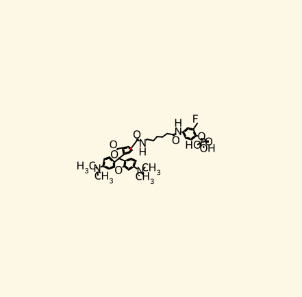 CN(C)c1ccc2c(c1)Oc1cc(N(C)C)ccc1C21OC(=O)c2cc(C(=O)NCCCCCC(=O)Nc3ccc(OP(=O)(O)O)c(CF)c3)ccc21